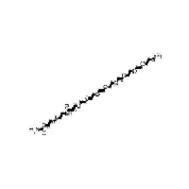 CCCOCCOCCOCCOCCOCCOCCOCCOCCOCCC(=O)NCCSSCCOC(N)=O